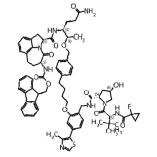 Cc1ncsc1-c1ccc(CNC(=O)[C@@H]2C[C@@H](O)CN2C(=O)[C@@H](NC(=O)C2(F)CC2)C(C)(C)C)c(OCCCCc2ccc(CO[C@H](C)[C@H](CCC(N)=O)NC(=O)[C@@H]3Cc4cccc5c4N3C(=O)[C@@H](NC(=O)OCC3c4ccccc4-c4ccccc43)CC5)cc2)c1